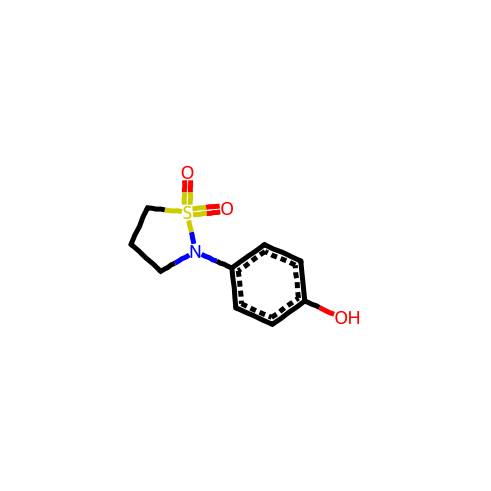 O=S1(=O)CCCN1c1ccc(O)cc1